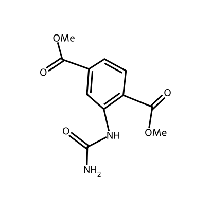 COC(=O)c1ccc(C(=O)OC)c(NC(N)=O)c1